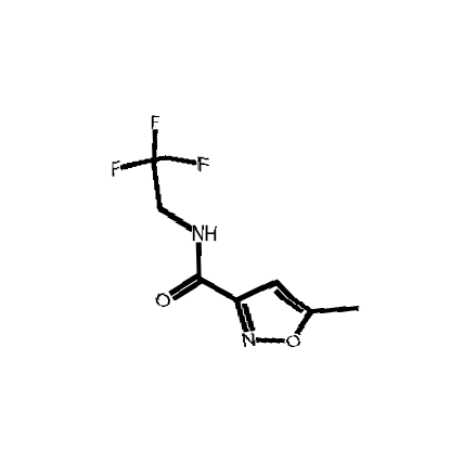 Cc1cc(C(=O)NCC(F)(F)F)no1